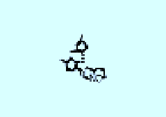 Cc1ccc(Sc2cc(C)ccc2N2CCN3CCCCC3C2)c(C)c1